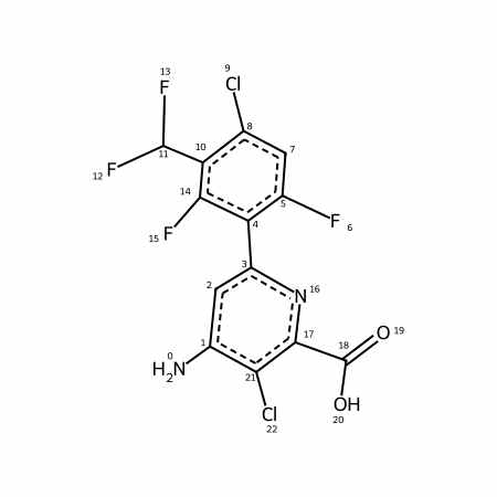 Nc1cc(-c2c(F)cc(Cl)c(C(F)F)c2F)nc(C(=O)O)c1Cl